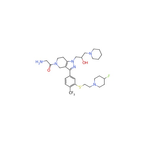 NCC(=O)N1CCc2c(c(-c3ccc(C(F)(F)F)c(SCCN4CCC(F)CC4)c3)nn2CC(O)CN2CCCCC2)C1